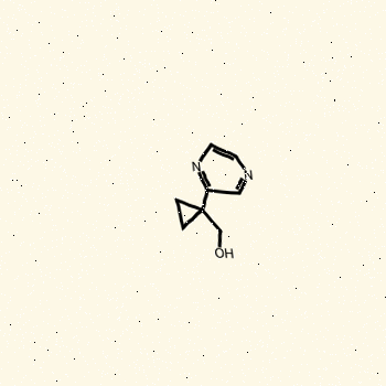 OCC1(c2cnccn2)CC1